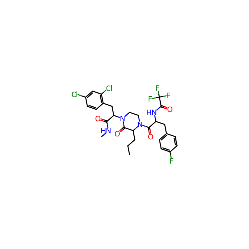 CCCC1C(=O)N(C(Cc2ccc(Cl)cc2Cl)C(=O)NC)CCN1C(=O)C(Cc1ccc(F)cc1)NC(=O)C(F)(F)F